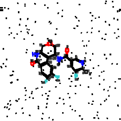 CN(C(=O)c1cnc(C(F)(F)F)c(F)c1)[C@H]1COCc2[nH]c(=O)c3cc(F)c(F)cc3c21